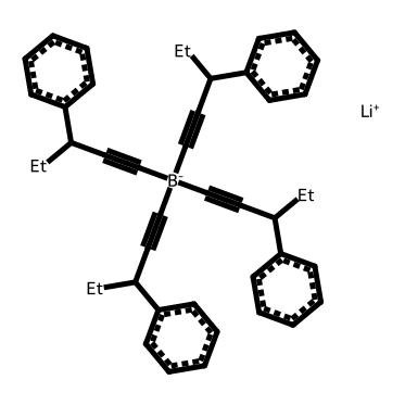 CCC(C#C[B-](C#CC(CC)c1ccccc1)(C#CC(CC)c1ccccc1)C#CC(CC)c1ccccc1)c1ccccc1.[Li+]